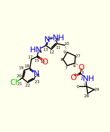 CC1(NC(=O)O[C@@H]2CC[C@H](Cc3cc(NC(=O)Cc4cc(Cl)ccn4)n[nH]3)C2)CC1